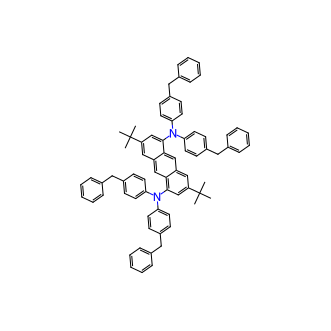 CC(C)(C)c1cc(N(c2ccc(Cc3ccccc3)cc2)c2ccc(Cc3ccccc3)cc2)c2cc3cc(C(C)(C)C)cc(N(c4ccc(Cc5ccccc5)cc4)c4ccc(Cc5ccccc5)cc4)c3cc2c1